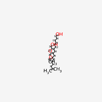 CC(C)CCCCCCCCCCCCCCCO.CCOCCOCCO